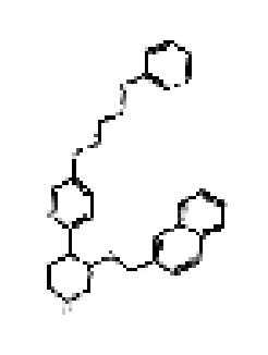 c1ccc(OCCOCc2ccc(C3CCNCC3OCc3ccc4ccccc4c3)cc2)cc1